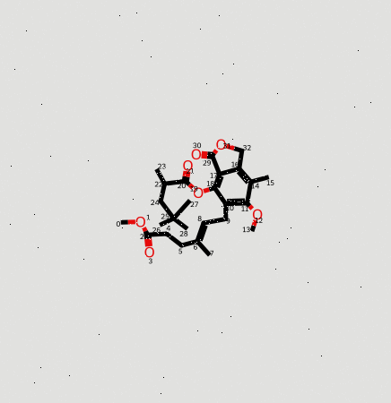 COC(=O)CC/C(C)=C/Cc1c(OC)c(C)c2c(c1OC(=O)C(C)CC(C)(C)C)C(=O)OC2